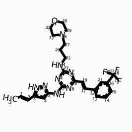 C/C=C/c1cc(Nc2nc(/C=C/c3cccc(C(F)(F)F)c3)nc(NCCCN3CCOCC3)n2)n[nH]1